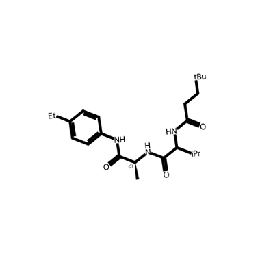 CCc1ccc(NC(=O)[C@H](C)NC(=O)C(NC(=O)CCC(C)(C)C)C(C)C)cc1